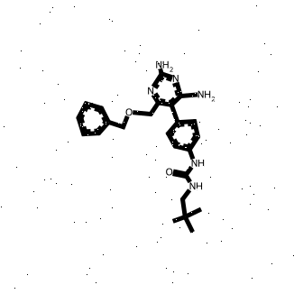 CC(C)(C)CNC(=O)Nc1ccc(-c2c(N)nc(N)nc2COCc2ccccc2)cc1